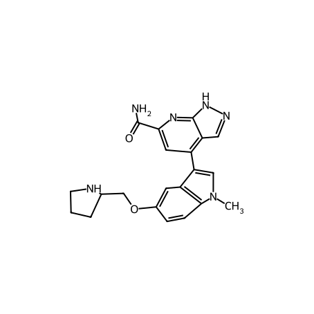 Cn1cc(-c2cc(C(N)=O)nc3[nH]ncc23)c2cc(OCC3CCCN3)ccc21